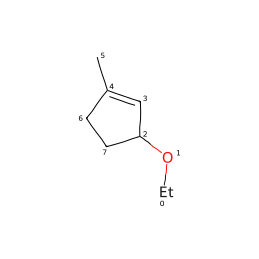 CCOC1C=C(C)CC1